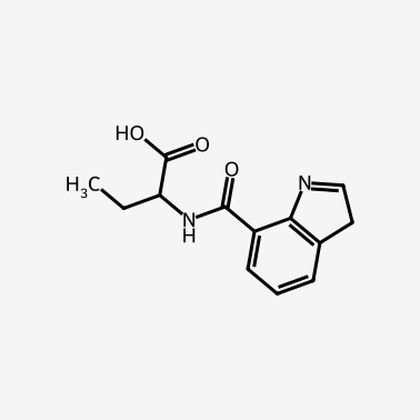 CCC(NC(=O)c1cccc2c1N=CC2)C(=O)O